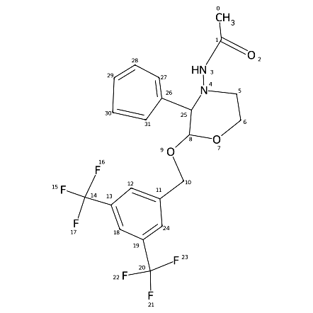 CC(=O)NN1CCOC(OCc2cc(C(F)(F)F)cc(C(F)(F)F)c2)C1c1ccccc1